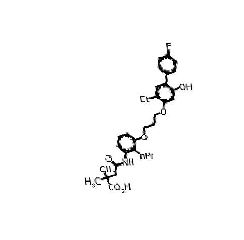 CCCc1c(NC(=O)CC(C)(C)C(=O)O)cccc1OCCCOc1cc(O)c(-c2ccc(F)cc2)cc1CC